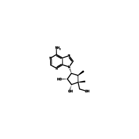 C[C@@H]1[C@@H](n2cnc3c(N)ncnc32)[C@@H](O)[C@@H](O)[C@@]1(C)CO